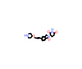 O=C1CC[C@H](N2Cc3cc(C#CCOC4CCNCC4)ccc3C2=O)C(=O)N1